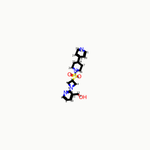 O=S(=O)(C1CN(c2ncccc2CO)C1)N1CCC(c2ccncc2)CC1